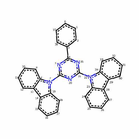 c1ccc(-c2nc(-n3c4ccccc4c4ccccc43)nc(-n3c4ccccc4c4ccccc43)n2)cc1